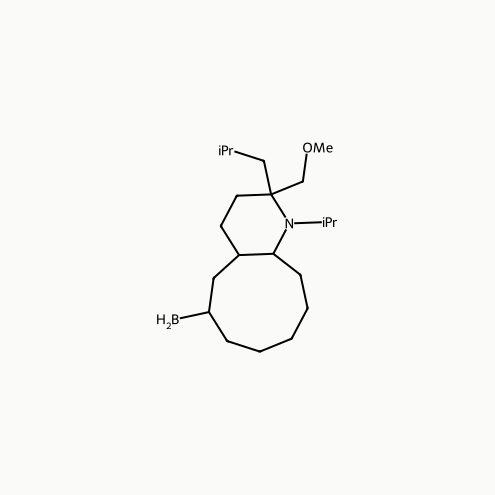 BC1CCCCCC2C(CCC(COC)(CC(C)C)N2C(C)C)C1